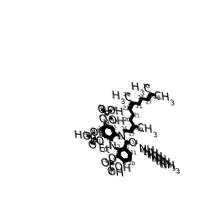 CCN1c2c(OP(=O)(O)O)cccc2C(=O)N(CC=C(C)CCC=C(C)CCC=C(C)C)c2cc(OP(=O)(O)O)cc(OP(=O)(O)O)c21.N.N.N.N.N.N